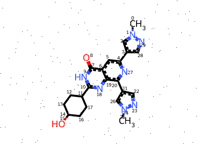 Cn1cc(-c2cc3c(=O)[nH]c(C4CCC(O)CC4)nc3c(-c3cnn(C)c3)n2)cn1